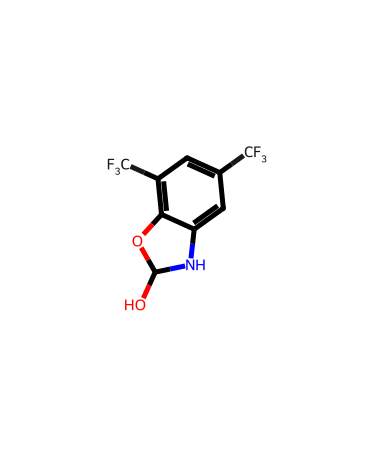 OC1Nc2cc(C(F)(F)F)cc(C(F)(F)F)c2O1